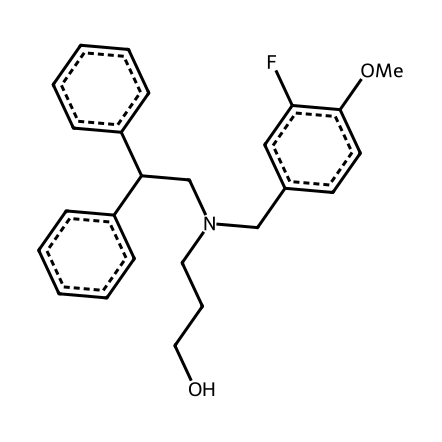 COc1ccc(CN(CCCO)CC(c2ccccc2)c2ccccc2)cc1F